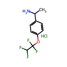 CC(N)c1ccc(OC(F)(F)C(F)F)cc1.Cl